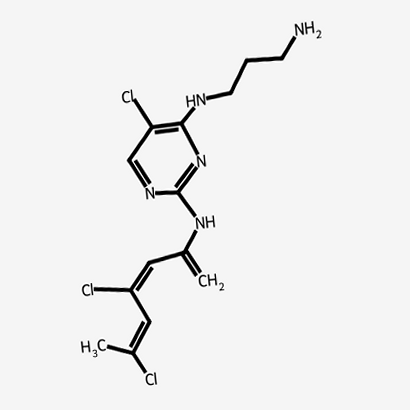 C=C(/C=C(Cl)\C=C(/C)Cl)Nc1ncc(Cl)c(NCCCN)n1